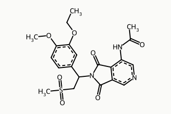 CCOc1cc(C(CS(C)(=O)=O)N2C(=O)c3cncc(NC(C)=O)c3C2=O)ccc1OC